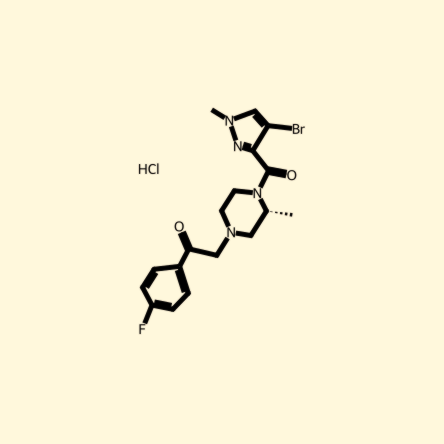 C[C@@H]1CN(CC(=O)c2ccc(F)cc2)CCN1C(=O)c1nn(C)cc1Br.Cl